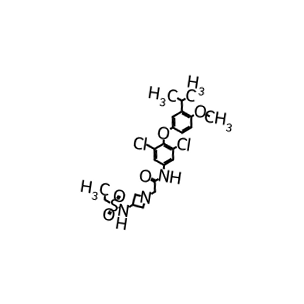 CCS(=O)(=O)NC1CN(CC(=O)Nc2cc(Cl)c(Oc3ccc(OC)c(C(C)C)c3)c(Cl)c2)C1